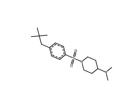 CN(C)C1CCN(S(=O)(=O)c2ccc(CC(C)(C)C)cc2)CC1